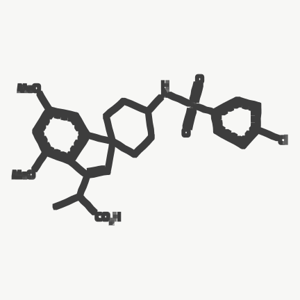 COc1cc(OC)c2c(c1)C1(C=C2C(C)C(=O)O)CCC(NS(=O)(=O)c2ccc(Cl)cc2)CC1